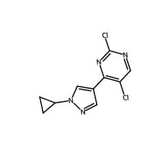 Clc1ncc(Cl)c(-c2cnn(C3CC3)c2)n1